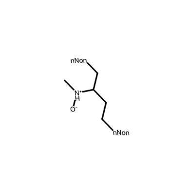 CCCCCCCCCCCC(CCCCCCCCCC)[NH+](C)[O-]